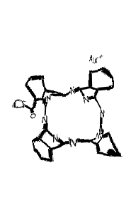 O=C([O-])c1cccc2c3nc4nc(nc5[nH]c(nc6nc(nc([nH]3)c12)-c1ccccc1-6)c1ccccc51)-c1ccccc1-4.[Au+]